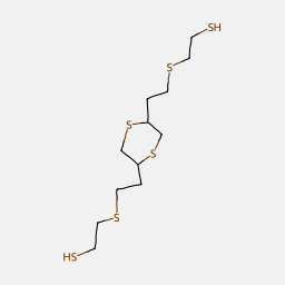 SCCSCCC1CSC(CCSCCS)CS1